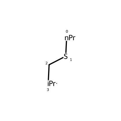 CCCSC[C](C)C